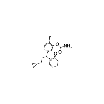 NC(=O)Oc1cc(C(CCC2CC2)N2C=CCCC2=O)ccc1F